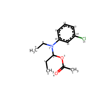 CCC(OC(C)=O)N(CC)c1cccc(Cl)c1